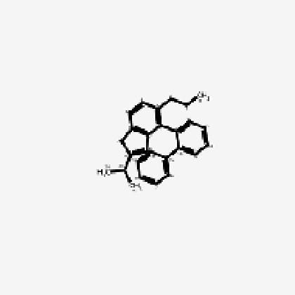 CCCc1ccc2c(c1-c1ccccc1-c1ccccc1)C=C(C(C)C)[CH]2